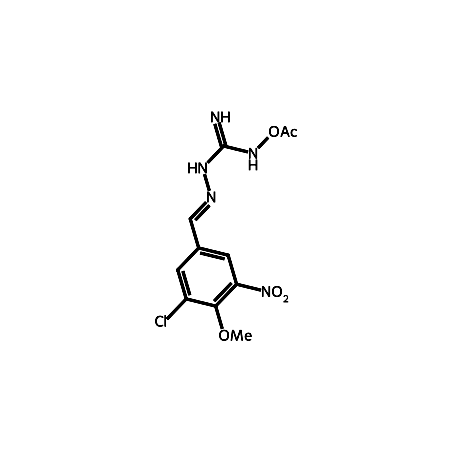 COc1c(Cl)cc(C=NNC(=N)NOC(C)=O)cc1[N+](=O)[O-]